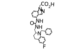 O=C(O)Cn1ncc2c(NC(=O)NCC3CCc4cc(F)ccc4N3Cc3ccccc3)cccc21